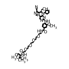 CC[C@@H]1c2c(C#N)ncn2-c2cnc(Nc3ccc(C(=O)NCCOCCOCCOCCOCC(=O)N[C@H](C=O)C(C)(C)C)cc3OC)nc2N1C1CCCC1